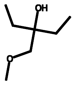 CCC(O)(CC)COC